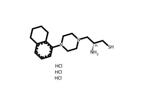 Cl.Cl.Cl.N[C@@H](CS)CN1CCN(c2cccc3c2CCCC3)CC1